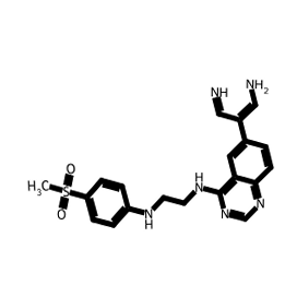 CS(=O)(=O)c1ccc(NCCNc2ncnc3ccc(/C(C=N)=C/N)cc23)cc1